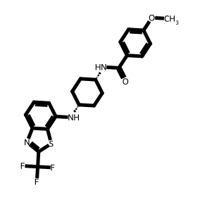 COc1ccc(C(=O)N[C@H]2CC[C@@H](Nc3cccc4nc(C(F)(F)F)sc34)CC2)cc1